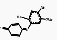 COc1cc(N=C2C=CC(=O)C=C2)c(N)cc1N